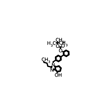 CCCCc1nc2c(O)cccc2n1Cc1ccc(-c2ccccc2OC(=O)OC(C)(C)C)cc1